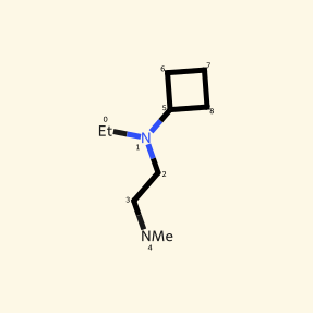 CCN(CCNC)C1CCC1